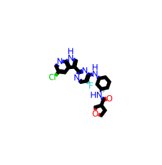 O=C(N[C@@H]1CCCC(Nc2nc(-c3c[nH]c4ncc(Cl)cc34)ncc2F)C1)C1CCOC1